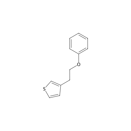 c1ccc(OCCc2ccsc2)cc1